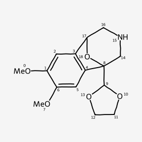 COc1cc2c(cc1OC)C1(C3OCCO3)CNCC2O1